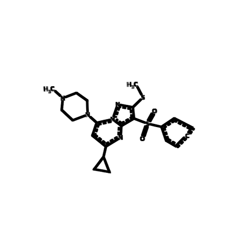 CSc1nn2c(N3CCN(C)CC3)cc(C3CC3)nc2c1S(=O)(=O)c1ccccc1